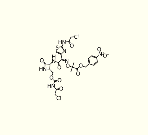 CC(C)(ON=C(C(=O)N[C@@H]1C(=O)N[C@@H]1COC(=O)NC(=O)CCl)c1csc(NC(=O)CCl)n1)C(=O)OCc1ccc([N+](=O)[O-])cc1